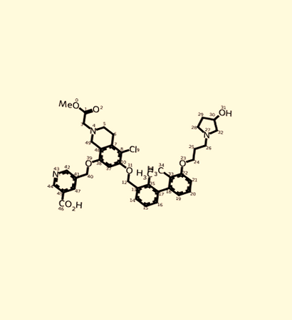 COC(=O)CN1CCc2c(Cl)c(OCc3cccc(-c4cccc(OCCCN5CCC(O)C5)c4C)c3C)cc(OCc3cncc(C(=O)O)c3)c2C1